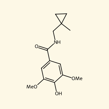 COc1cc(C(=O)NCC2(C)CC2)cc(OC)c1O